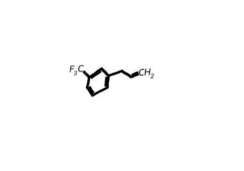 C=CCc1cccc(C(F)(F)F)c1